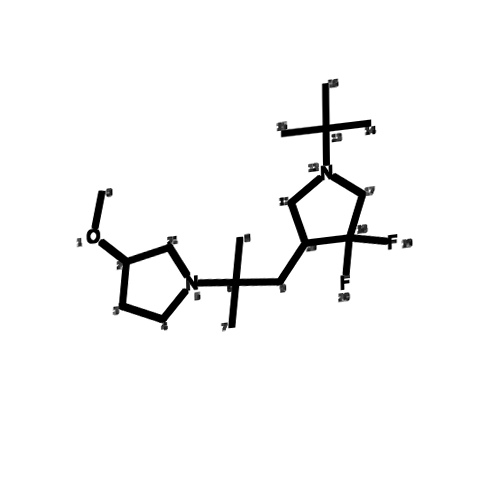 COC1CCN(C(C)(C)CC2CN(C(C)(C)C)CC2(F)F)C1